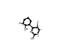 Oc1c(F)cccc1-c1nc(Cl)ncc1F